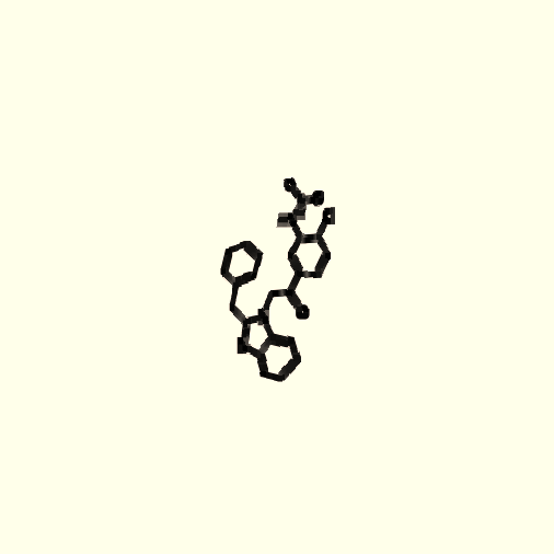 O=C(Cn1c(Cc2ccccc2)nc2ccccc21)c1ccc(Cl)c(N[SH](=O)=O)c1